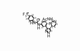 CC(=O)Nc1nccc(-c2c[nH]nc2-c2cccc(NC(=O)Nc3ccc(C(F)(F)F)cc3)c2)n1